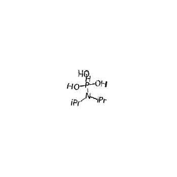 CC(C)N(C(C)C)[PH](O)(O)O